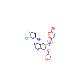 C[N+](C)(OC(=O)/C=C\C(=O)O)c1cc2c(Nc3ccc(F)c(Cl)c3)ncnc2cc1O[C@H]1CCOC1